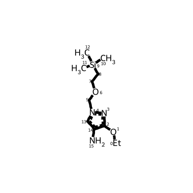 CCOc1nn(COCC[Si](C)(C)C)cc1N